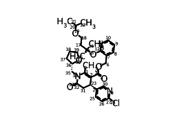 CC1=C(C(=O)OCc2ccccc2OC(C)(C)CCOC(C)C)[C@@H](c2ccc(Cl)nc2)CC(=O)N1C[C@@H]1CCCO1